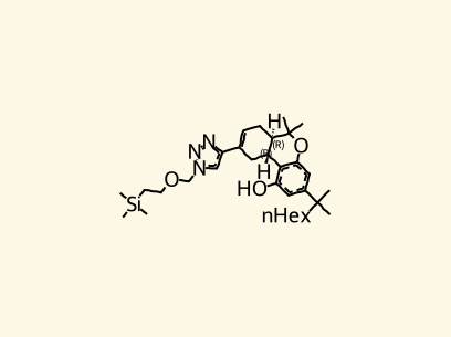 CCCCCCC(C)(C)c1cc(O)c2c(c1)OC(C)(C)[C@@H]1CC=C(c3cn(COCC[Si](C)(C)C)nn3)C[C@@H]21